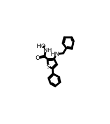 O=C(NO)c1sc(-c2ccccc2)cc1NCc1ccccc1